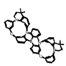 CC1(C)CCN2c3cccc(c3)Oc3ccc4c(c3)N(c3ccc1c2c3)c1cccc2c1B4c1ccc3cc1N2c1ccc2c(c1)N(CCC2(C)C)c1cccc(c1)O3